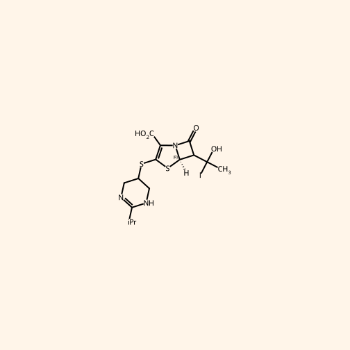 CC(C)C1=NCC(SC2=C(C(=O)O)N3C(=O)C(C(C)(O)I)[C@H]3S2)CN1